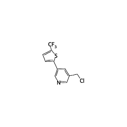 FC(F)(F)c1ccc(-c2cncc(CCl)c2)s1